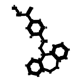 C=C(NO)c1cnc(NCC2c3ccccc3CCc3ccccc32)nc1